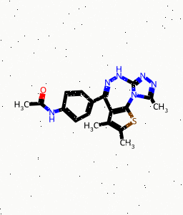 CC(=O)Nc1ccc(C2=NNc3nnc(C)n3-c3sc(C)c(C)c32)cc1